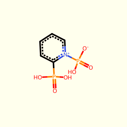 O=P(O)(O)c1cccc[n+]1P(=O)([O-])O